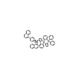 c1ccc(C2(c3ccccc3)c3ccccc3C3(c4ccccc4-c4c(N(c5ccc(-c6cccc7ccccc67)cc5)c5cccc6ccccc56)cccc43)c3ccccc32)cc1